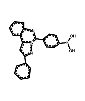 OB(O)c1ccc(-c2nc3ccccc3c3cc(-c4ccccc4)nn23)cc1